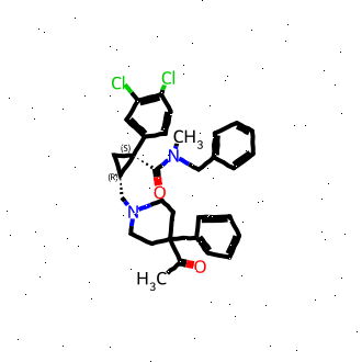 CC(=O)C1(c2ccccc2)CCN(C[C@@H]2C[C@@]2(C(=O)N(C)Cc2ccccc2)c2ccc(Cl)c(Cl)c2)CC1